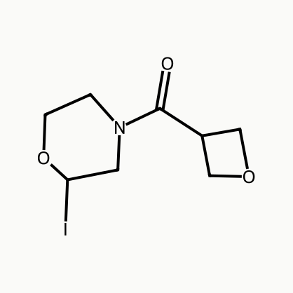 O=C(C1COC1)N1CCOC(I)C1